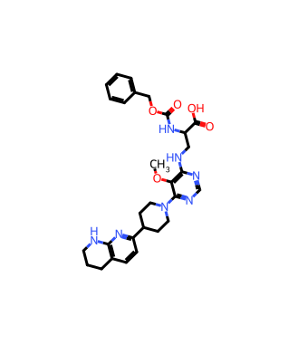 COc1c(NCC(NC(=O)OCc2ccccc2)C(=O)O)ncnc1N1CCC(c2ccc3c(n2)NCCC3)CC1